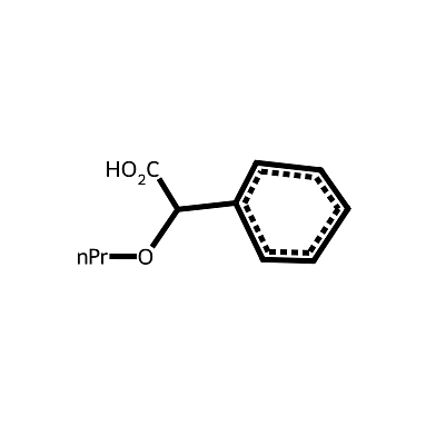 CCCOC(C(=O)O)c1ccccc1